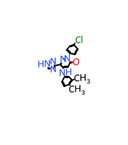 Cc1ccc(Nc2cc(=O)n(-c3ccc(Cl)cc3)nc2-c2nc[nH]n2)cc1C